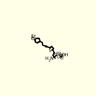 CCOc1ccc(CCC#Cc2ccc(CCC(C)(N)COP(=O)(O)O)s2)cc1